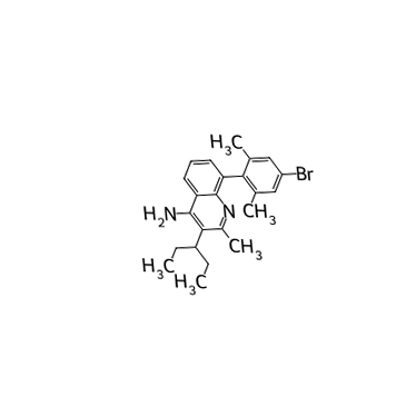 CCC(CC)c1c(C)nc2c(-c3c(C)cc(Br)cc3C)cccc2c1N